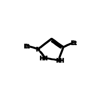 CCC1=CN(CC)NN1